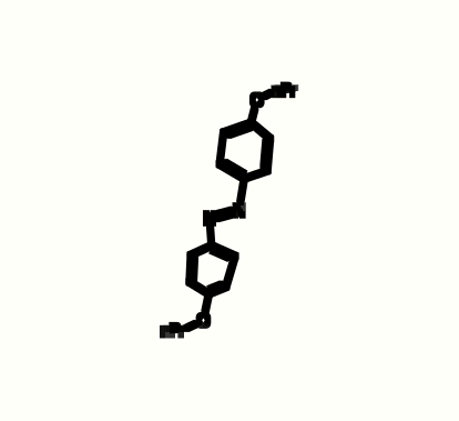 CCCOc1ccc(N=Nc2ccc(OCCC)cc2)cc1